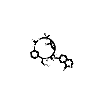 CCc1cc2ccc1[C@@H](C)COC(=O)Nc1cccc(c1)C(CC(=O)O)NC(=O)[C@@H]2Nc1ccc2cc[nH]c(=O)c2c1